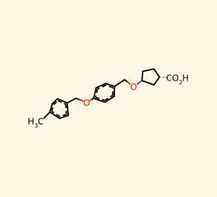 Cc1ccc(COc2ccc(CO[C@H]3CC[C@H](C(=O)O)C3)cc2)cc1